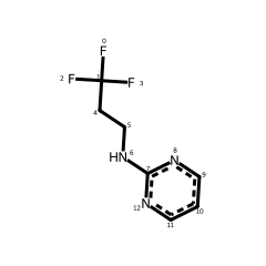 FC(F)(F)CCNc1ncccn1